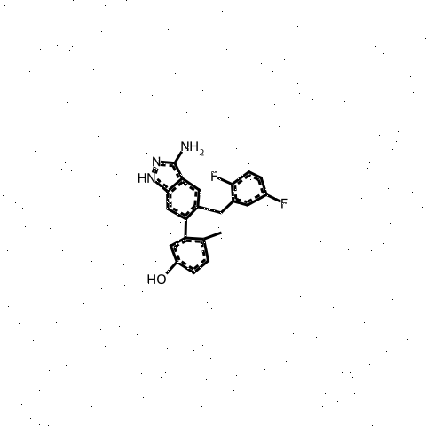 Cc1ccc(O)cc1-c1cc2[nH]nc(N)c2cc1Cc1cc(F)ccc1F